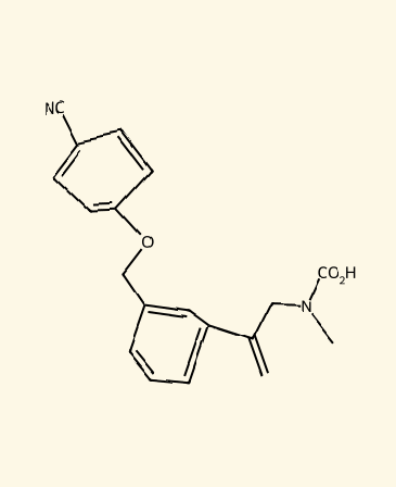 C=C(CN(C)C(=O)O)c1cccc(COc2ccc(C#N)cc2)c1